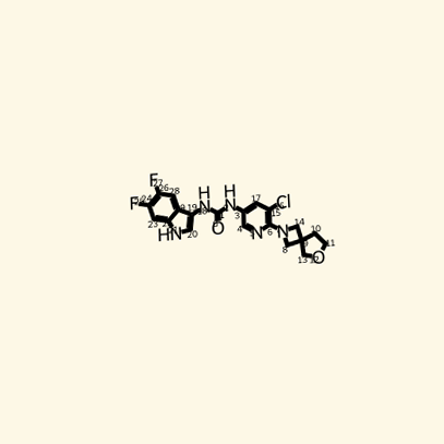 O=C(Nc1cnc(N2CC3(CCOC3)C2)c(Cl)c1)Nc1c[nH]c2cc(F)c(F)cc12